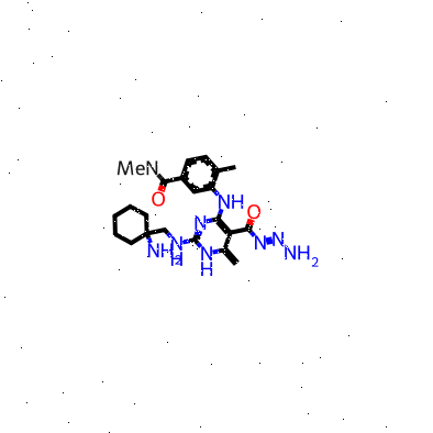 C=C1NC(NCC2(N)CCCCC2)=NC(Nc2cc(C(=O)NC)ccc2C)=C1C(=O)N=NN